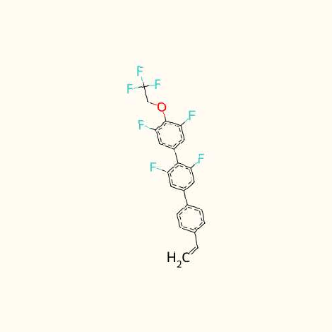 C=Cc1ccc(-c2cc(F)c(-c3cc(F)c(OCC(F)(F)F)c(F)c3)c(F)c2)cc1